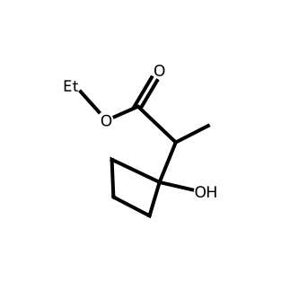 CCOC(=O)C(C)C1(O)CCC1